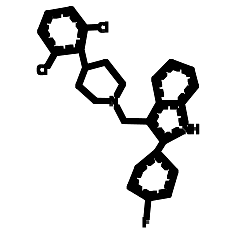 Fc1ccc(-c2[nH]c3ccccc3c2CN2CCC(c3c(Cl)cccc3Cl)CC2)cc1